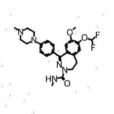 CNC(=O)N1CCc2cc(OC(F)F)c(OC)cc2C(c2ccc(N3CCN(C)CC3)cc2)=N1